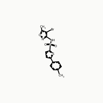 Cc1ccc(-c2ccc(S(=O)(=O)Nc3noc(C)c3Br)s2)cc1